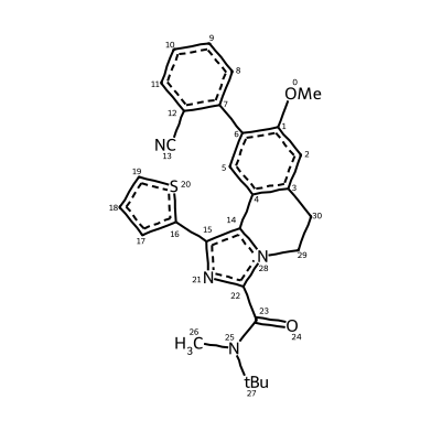 COc1cc2c(cc1-c1ccccc1C#N)-c1c(-c3cccs3)nc(C(=O)N(C)C(C)(C)C)n1CC2